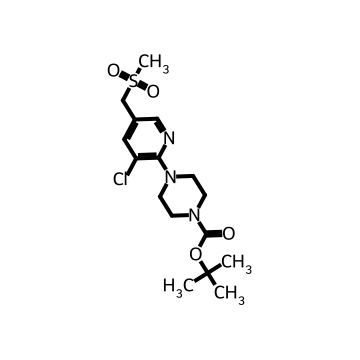 CC(C)(C)OC(=O)N1CCN(c2ncc(CS(C)(=O)=O)cc2Cl)CC1